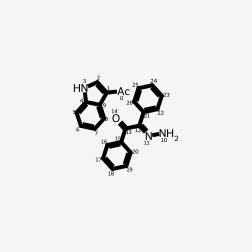 CC(=O)c1c[nH]c2ccccc12.NN=C(C(=O)c1ccccc1)c1ccccc1